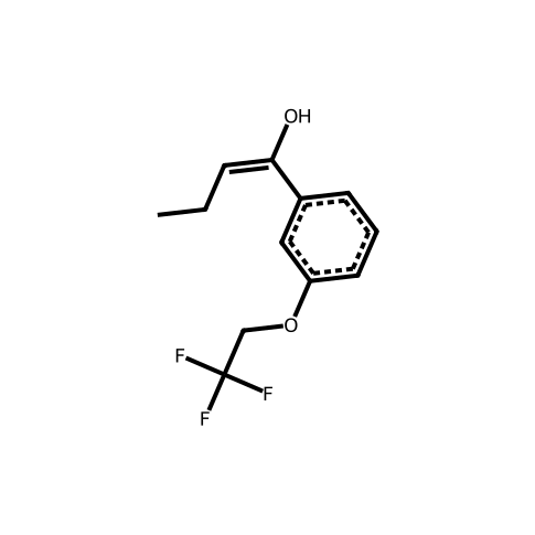 CC/C=C(/O)c1cccc(OCC(F)(F)F)c1